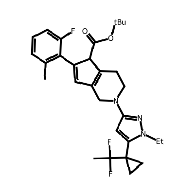 CCn1nc(N2CCC3=C(C=C(c4c(C)cccc4F)C3C(=O)OC(C)(C)C)C2)cc1C1(C(C)(F)F)CC1